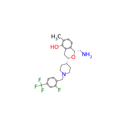 Cc1ccc2c(c1O)C[C@@H](C1CCN(Cc3ccc(C(F)(F)F)cc3F)CC1)O[C@H]2CN